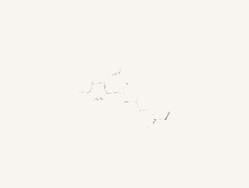 C=C(C)C(=O)OCC(O)CN(CC(C)=O)c1ccc(C)cc1